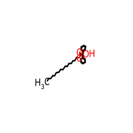 CCCCCCCCCCCCCCCCOC(=O)C(O)(c1ccccc1)c1ccccc1